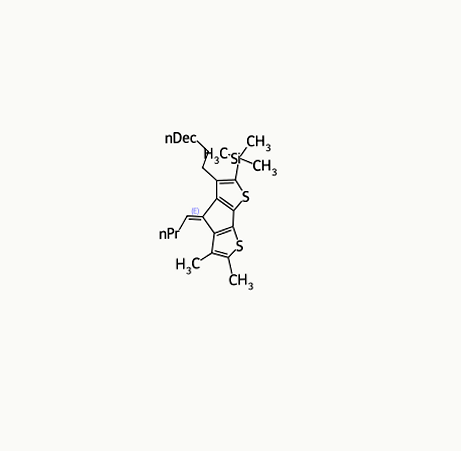 CCC/C=C1\c2c(sc(C)c2C)-c2sc([Si](C)(C)C)c(CCCCCCCCCCCC)c21